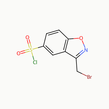 O=S(=O)(Cl)c1ccc2onc(CBr)c2c1